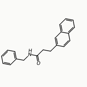 O=C(CCc1ccc2ccccc2c1)NCc1ccccc1